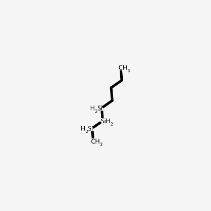 CCCC[SiH2][SiH2][SiH2]C